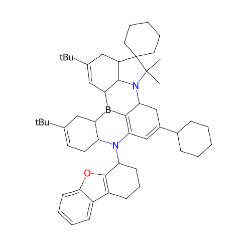 CC(C)(C)C1=CCC2C(C1)B1C3=C(C=C(C4CCCCC4)CC3N3C4C1C=C(C(C)(C)C)CC4C1(CCCCC1)C3(C)C)N2C1CCCc2c1oc1ccccc21